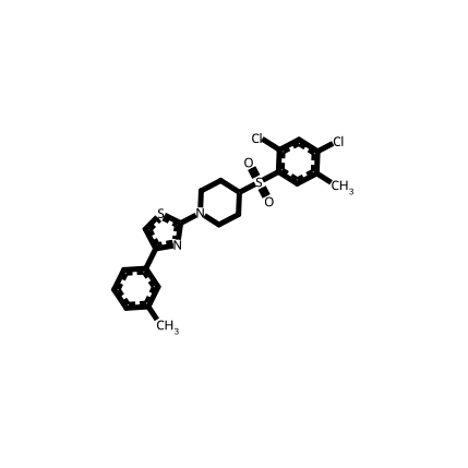 Cc1cccc(-c2csc(N3CCC(S(=O)(=O)c4cc(C)c(Cl)cc4Cl)CC3)n2)c1